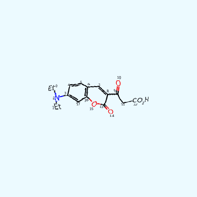 CCN(CC)c1ccc2cc(C(=O)CC(=O)O)c(=O)oc2c1